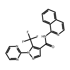 O=C(Nc1nccc2ccccc12)c1cnn(-c2ncccn2)c1C(F)(F)F